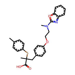 Cc1ccc(SC(C)(Cc2ccc(OCCN(C)c3nc4ccccc4o3)cc2)C(=O)O)cc1